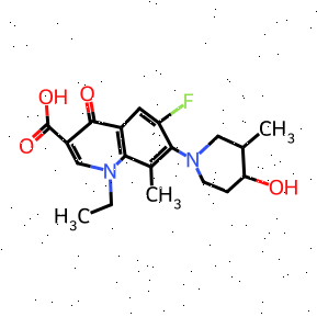 CCn1cc(C(=O)O)c(=O)c2cc(F)c(N3CCC(O)C(C)C3)c(C)c21